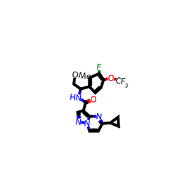 COCC(NC(=O)c1cnn2ccc(C3CC3)nc12)c1ccc(OC(F)(F)F)c(F)c1